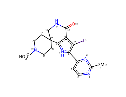 CSc1nccc(-c2[nH]c3c(c2I)C(=O)NCC32CCN(C(=O)O)CC2)n1